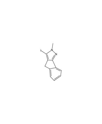 Cn1nc2c(c1I)Cc1ccccc1-2